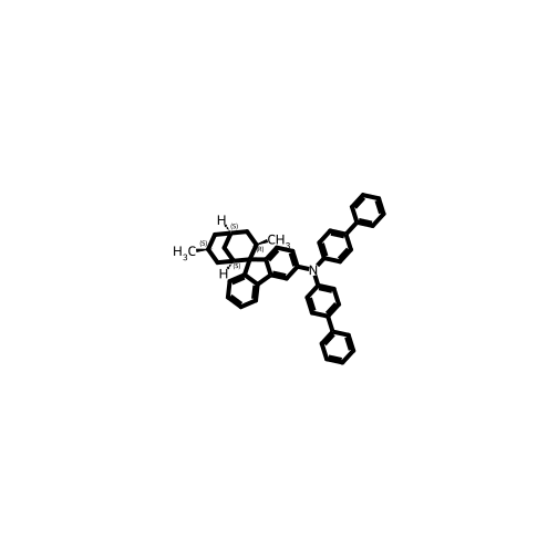 C[C@H]1C[C@@H]2C[C@H](C1)C1(c3ccccc3-c3cc(N(c4ccc(-c5ccccc5)cc4)c4ccc(-c5ccccc5)cc4)ccc31)[C@H](C)C2